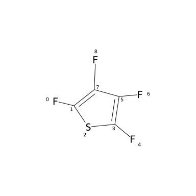 Fc1sc(F)c(F)c1F